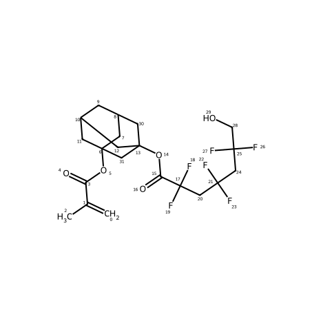 C=C(C)C(=O)OC12CC3CC(C1)CC(OC(=O)C(F)(F)CC(F)(F)CC(F)(F)CO)(C3)C2